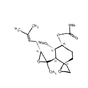 CNC(=O)O[C@@H]1CC[C@]2(CO2)[C@@H](C2(C)O[C@@H]2CC=C(C)C)[C@@H]1OC